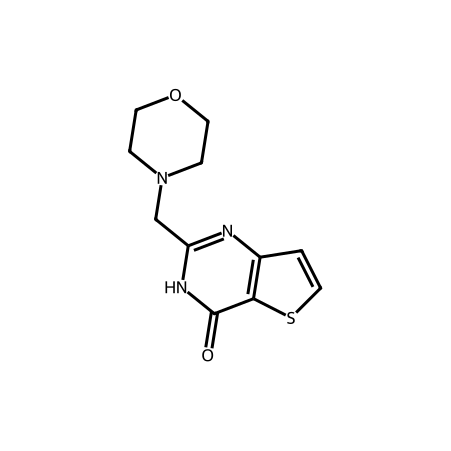 O=c1[nH]c(CN2CCOCC2)nc2ccsc12